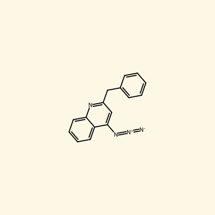 [N-]=[N+]=Nc1cc(Cc2ccccc2)nc2ccccc12